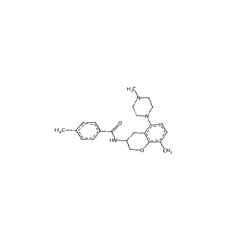 Cc1ccc(C(=O)NC2COc3c(C)ccc(N4CCN(C)CC4)c3C2)cc1